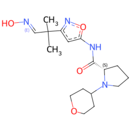 CC(C)(/C=N/O)c1cc(NC(=O)[C@@H]2CCCN2C2CCOCC2)on1